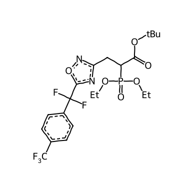 CCOP(=O)(OCC)C(Cc1noc(C(F)(F)c2ccc(C(F)(F)F)cc2)n1)C(=O)OC(C)(C)C